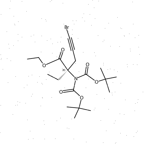 CCOC(=O)[C@@](CC)(CC#CBr)N(C(=O)OC(C)(C)C)C(=O)OC(C)(C)C